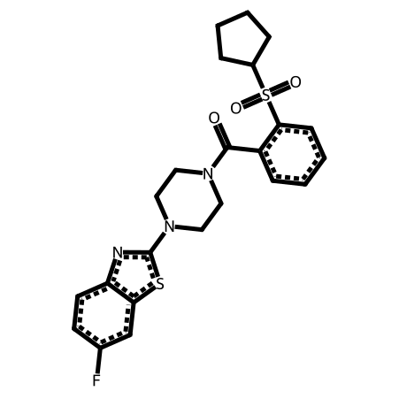 O=C(c1ccccc1S(=O)(=O)C1CCCC1)N1CCN(c2nc3ccc(F)cc3s2)CC1